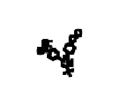 CC(C)(C)C1=NN(c2ccc(OC=O)cc2)C(c2ccc([N+](=O)[O-])cc2)C1